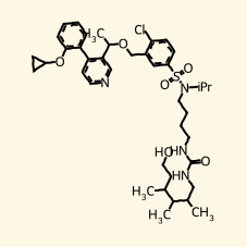 CC(OCc1cc(S(=O)(=O)N(CCCCNC(=O)NCC(C)C(C)C(C)CCO)C(C)C)ccc1Cl)c1cnccc1-c1ccccc1OC1CC1